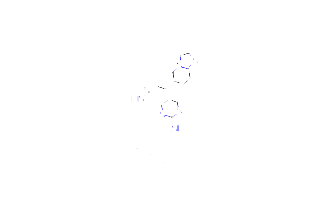 C[C@]1(O)CC[C@@H](Nc2ncc3c(n2)C2N[C@H]2C=C3c2ccc3nccn3c2)CC1